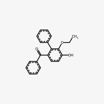 CCOc1c(O)ccc(C(=O)c2ccccc2)c1-c1ccccc1